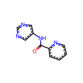 O=C(Nc1cncnc1)c1ccccn1